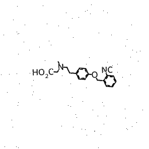 CN(CCc1ccc(OCc2ccccc2C#N)cc1)CC(=O)O